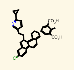 Cc1c(C(=O)O)cccc1C(=O)O.Clc1ccc2c(c1)=CC(CCc1ccc(C3CC3)nc1)c1c3c(ccc1=2)=CCCC3